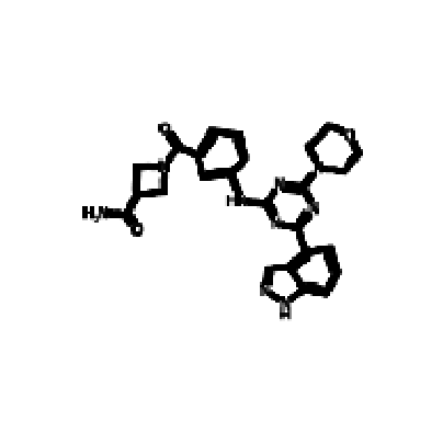 NC(=O)C1CN(C(=O)c2cccc(Nc3nc(-c4cccc5[nH]ncc45)nc(N4CCOCC4)n3)c2)C1